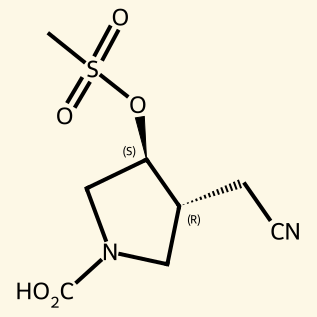 CS(=O)(=O)O[C@@H]1CN(C(=O)O)C[C@H]1CC#N